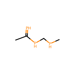 CPCPC(C)=P